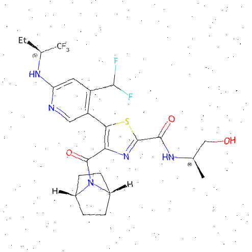 CC[C@H](Nc1cc(C(F)F)c(-c2sc(C(=O)N[C@H](C)CO)nc2C(=O)N2[C@H]3CC[C@@H]2CC3)cn1)C(F)(F)F